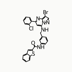 O=C(Nc1cccc(CNc2cc(-c3ccccc3Cl)nc3c(Br)cnn23)c1)c1cc2ccccc2s1